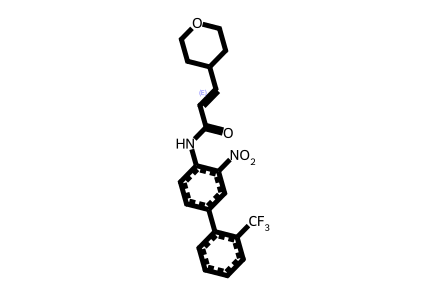 O=C(/C=C/C1CCOCC1)Nc1ccc(-c2ccccc2C(F)(F)F)cc1[N+](=O)[O-]